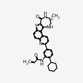 C=CC(=O)Nc1cc(-c2ccc3c(ccc4sc5c(c43)NC[C@@H](C)NC5=O)n2)ccc1C1CCCCC1